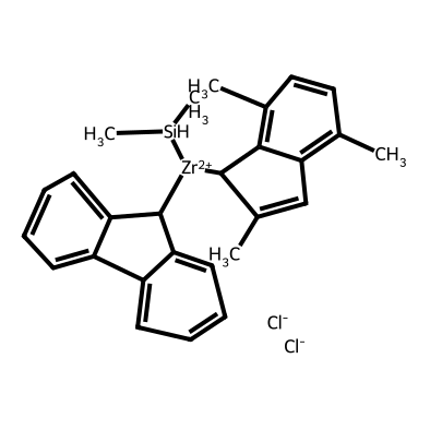 CC1=Cc2c(C)ccc(C)c2[CH]1[Zr+2]([CH]1c2ccccc2-c2ccccc21)[SiH](C)C.[Cl-].[Cl-]